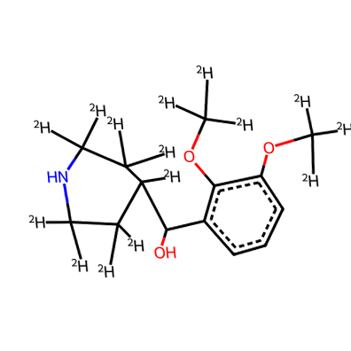 [2H]C([2H])([2H])Oc1cccc(C(O)C2([2H])C([2H])([2H])C([2H])([2H])NC([2H])([2H])C2([2H])[2H])c1OC([2H])([2H])[2H]